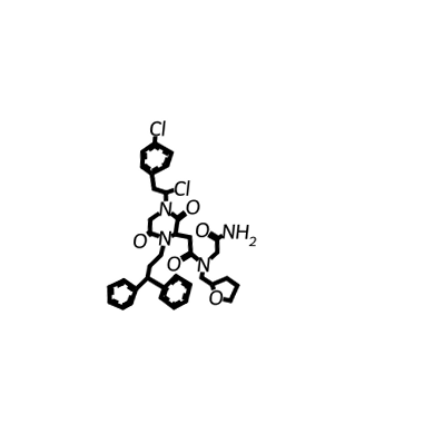 NC(=O)CN(CC1CCCO1)C(=O)CC1C(=O)N(C(Cl)Cc2ccc(Cl)cc2)CC(=O)N1CCC(c1ccccc1)c1ccccc1